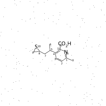 Cc1ccc(C(C)CC2CS2)c(C(=O)O)n1